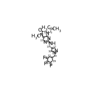 CC(C)CN1CC(=O)N(C)c2cnc(NCc3cnn(Cc4cc(F)c(F)c(F)c4)c3)nc21